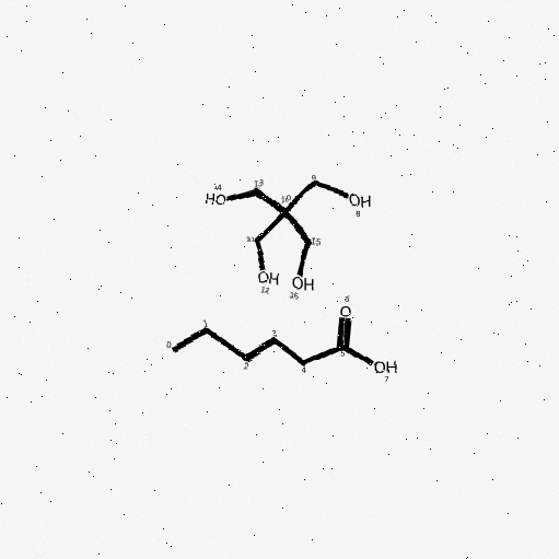 CCCCCC(=O)O.OCC(CO)(CO)CO